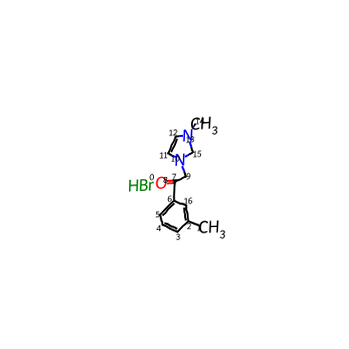 Br.Cc1cccc(C(=O)CN2C=CN(C)C2)c1